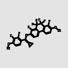 CCOc1ccc(C(Oc2ccc3c(c2F)C(F)(F)C(F)(F)c2c-3ccc(OCC)c2F)=C2CC2)c(F)c1F